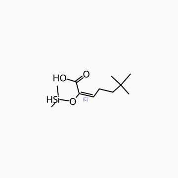 C[SiH](C)O/C(=C/CCC(C)(C)C)C(=O)O